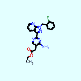 CCOC(=O)Cc1cnc(-c2nn(Cc3ccccc3F)c3ncccc23)nc1N